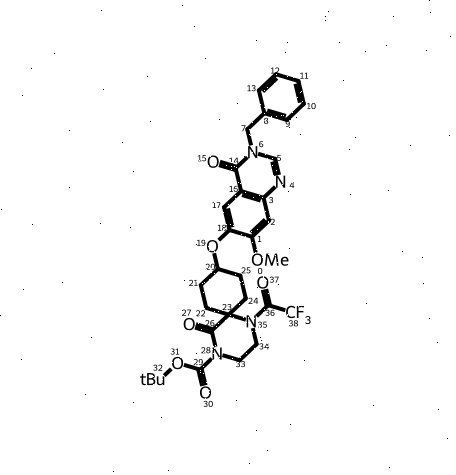 COc1cc2ncn(Cc3ccccc3)c(=O)c2cc1OC1CCC2(CC1)C(=O)N(C(=O)OC(C)(C)C)CCN2C(=O)C(F)(F)F